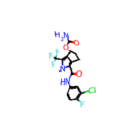 Cn1c(C(=O)Nc2ccc(F)c(Cl)c2)c2c(c1C(F)(F)F)C(OC(N)=O)CC2